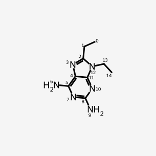 CCc1nc2c(N)nc(N)nc2n1CC